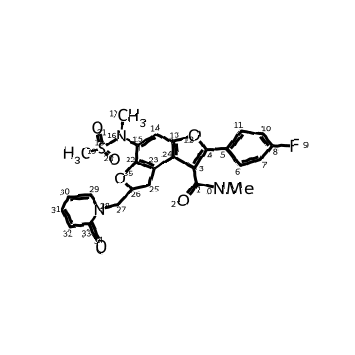 CNC(=O)c1c(-c2ccc(F)cc2)oc2cc(N(C)S(C)(=O)=O)c3c(c12)CC(Cn1ccccc1=O)O3